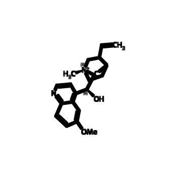 C=CC1C[N@@+]2(C)CCC1CC2[C@@H](O)c1ccnc2ccc(OC)cc12